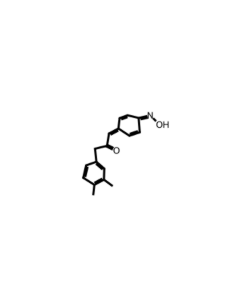 Cc1ccc(CC(=O)C=C2C=CC(=NO)C=C2)cc1C